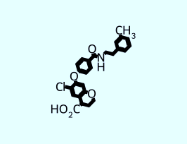 Cc1cccc(CCNC(=O)c2ccc(Oc3cc4c(cc3Cl)C(C(=O)O)CCO4)cc2)c1